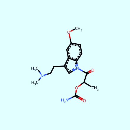 COc1ccc2c(c1)c(CCN(C)C)cn2C(=O)C(C)OC(N)=O